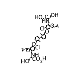 Cc1c(COc2cc(OCC3CC3)c(CNC(CCO)C(=O)O)cc2Cl)cccc1-c1cccc(COc2cc(OCC3CC3)c(CNC(CCO)C(=O)O)cc2Cl)c1C